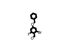 O=Cc1c(F)cc(OCc2ccccc2)cc1Br